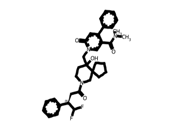 CN(C)C(=O)c1cn(CC2(O)CCN(C(=O)C[C@H](c3ccccc3)C(F)F)CC23CCCC3)c(=O)cc1-c1ccccc1